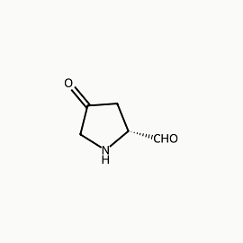 O=C[C@H]1CC(=O)CN1